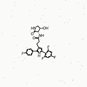 O=C(CCc1cc(-c2c(F)cc(F)cc2F)[nH]c1-c1ccc(F)cc1)N[C@@H]1C(=O)NC[C@H]1O